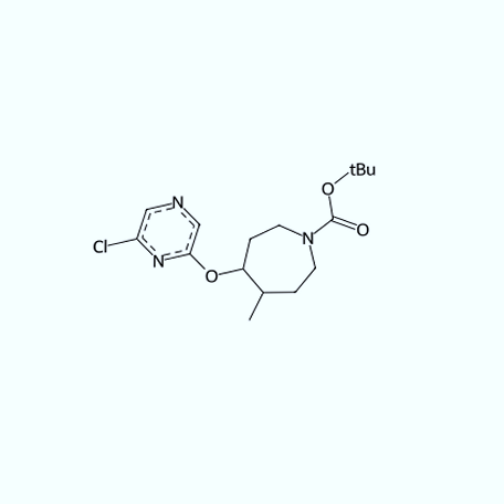 CC1CCN(C(=O)OC(C)(C)C)CCC1Oc1cncc(Cl)n1